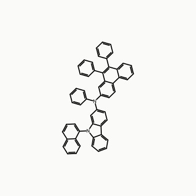 c1ccc(-c2c(-c3ccccc3)c3cc(N(c4ccccc4)c4ccc5c6ccccc6n(-c6cccc7ccccc67)c5c4)ccc3c3ccccc23)cc1